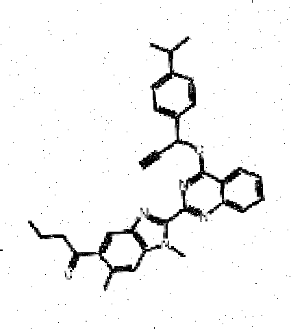 C#CC(Oc1nc(-c2nc3cc(C(=O)CCC)c(C)cc3n2C)nc2ccccc12)c1ccc(C(C)C)cc1